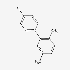 Cc1ccc(C(F)(F)F)cc1-c1ccc(F)cc1